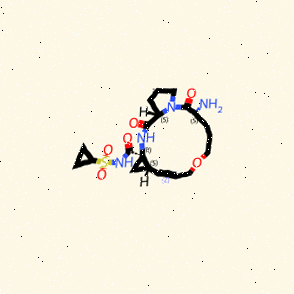 N[C@H]1CCCOC/C=C\[C@@H]2C[C@@]2(C(=O)NS(=O)(=O)C2CC2)NC(=O)[C@@H]2C[C]CN2C1=O